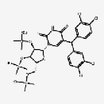 CC(C)(C)[Si](C)(C)OC[C@H]1O[C@@H](n2cc(C(c3ccc(Cl)c(Cl)c3)c3ccc(Cl)c(Cl)c3)c(=O)[nH]c2=O)[C@H](O[Si](C)(C)C(C)(C)C)[C@@H]1O[Si](C)(C)C(C)(C)C